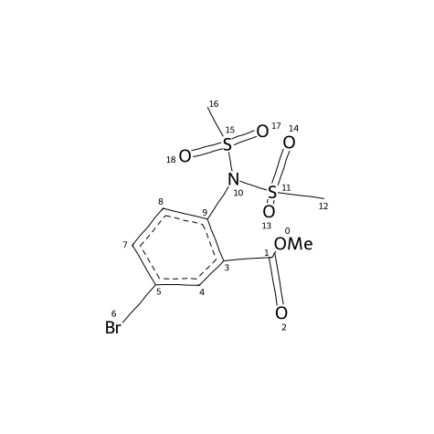 COC(=O)c1cc(Br)ccc1N(S(C)(=O)=O)S(C)(=O)=O